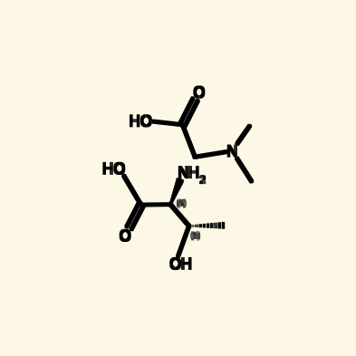 CN(C)CC(=O)O.C[C@H](O)[C@H](N)C(=O)O